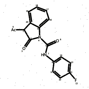 CC(=O)C1C(=O)N(C(=O)Nc2ccc(F)cc2)c2ccccc21